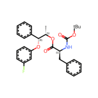 C[C@H](OC(=O)[C@H](Cc1ccccc1)NC(=O)OC(C)(C)C)[C@H](Oc1cccc(F)c1)c1ccccc1